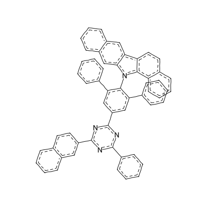 c1ccc(-c2nc(-c3cc(-c4ccccc4)c(-n4c5cc6ccccc6cc5c5ccc6ccccc6c54)c(-c4ccccc4)c3)nc(-c3ccc4ccccc4c3)n2)cc1